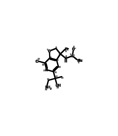 CC(C)C1(N[S+]([O-])C(C)(C)C)COc2c1cc(C(C)(O)CN)nc2Cl